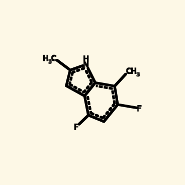 Cc1cc2c(F)cc(F)c(C)c2[nH]1